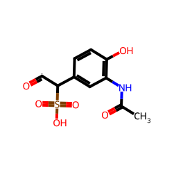 CC(=O)Nc1cc(C([C]=O)S(=O)(=O)O)ccc1O